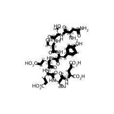 CC[C@H](C)[C@H](NC(=O)[C@H](CCC(=O)O)NC(=O)[C@H](CCC(=O)O)NC(=O)[C@H](Cc1ccc(O)cc1)NC(=O)[C@H](CO)NC(=O)[C@H](CO)NC(=O)[C@@H](N)CC(N)=O)C(=O)N[C@@H](CCC(=O)O)C(=O)O